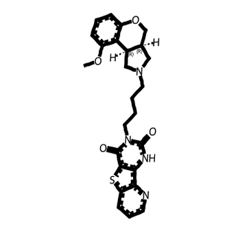 COc1cccc2c1[C@@H]1CN(CCCCn3c(=O)[nH]c4c(sc5cccnc54)c3=O)C[C@@H]1CO2